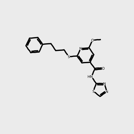 COc1cc(C(=O)Nc2nncs2)cc(SCCCc2ccccc2)n1